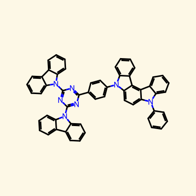 c1ccc(-n2c3ccccc3c3c4c5ccccc5n(-c5ccc(-c6nc(-n7c8ccccc8c8ccccc87)nc(-n7c8ccccc8c8ccccc87)n6)cc5)c4ccc32)cc1